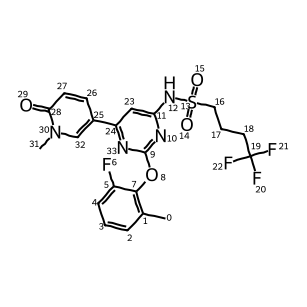 Cc1cccc(F)c1Oc1nc(NS(=O)(=O)CCCC(F)(F)F)cc(-c2ccc(=O)n(C)c2)n1